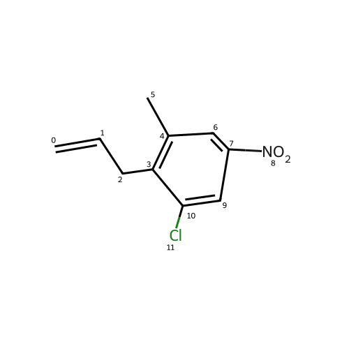 C=CCc1c(C)cc([N+](=O)[O-])cc1Cl